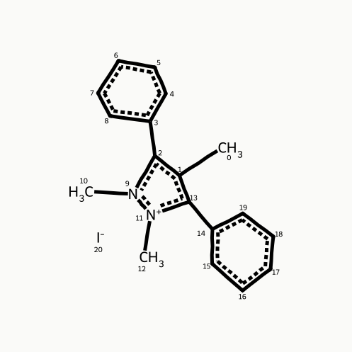 Cc1c(-c2ccccc2)n(C)[n+](C)c1-c1ccccc1.[I-]